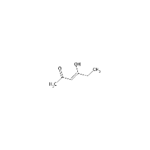 CCC(O)=CC(C)=O